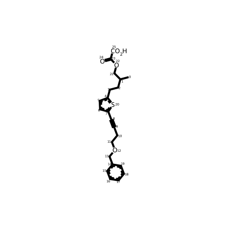 CC(CCc1ccc(C#CCCOCc2ccccc2)s1)COC(=O)C(=O)O